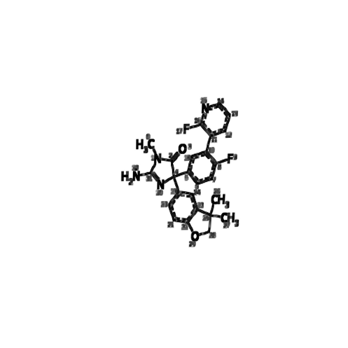 CN1C(=O)C(c2ccc(F)c(-c3cccnc3F)c2)(c2ccc3c(c2)C(C)(C)CO3)N=C1N